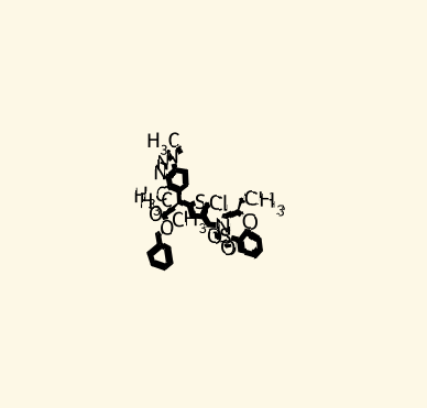 CC[C@@H]1CN(Cc2cc([C@H](c3ccc4c(nnn4CC)c3C)C(C)(C)C(=O)OCc3ccccc3)sc2Cl)S(=O)(=O)c2ccccc2O1